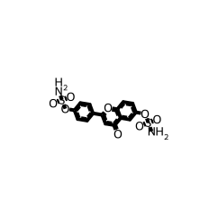 NS(=O)(=O)Oc1ccc(-c2cc(=O)c3cc(OS(N)(=O)=O)ccc3o2)cc1